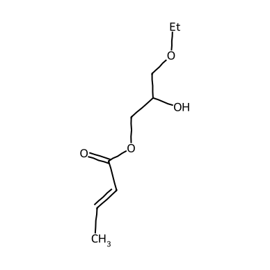 [CH2]COCC(O)COC(=O)C=CC